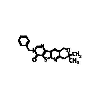 CC1(C)Cc2nc3sc4c(=O)n(Cc5ccccc5)cnc4c3cc2CO1